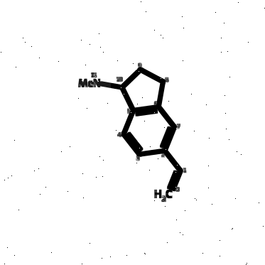 C=Cc1ccc2c(c1)CCC2NC